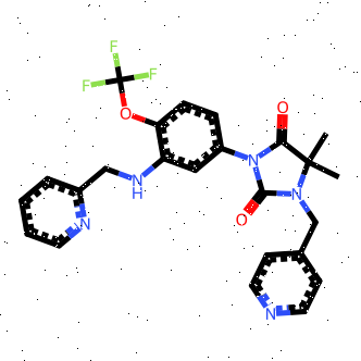 CC1(C)C(=O)N(c2ccc(OC(F)(F)F)c(NCc3ccccn3)c2)C(=O)N1Cc1ccncc1